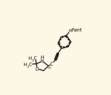 CCCCCc1ccc(C#CC[C@H]2COC(C)(C)N2)cc1